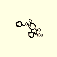 CC(C)(C)OC(=O)N1CCC(=O)N(OCc2ccccc2)CC1c1ccccc1